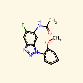 COc1ccccc1-n1nnc2cc(F)c(NC(C)=O)cc21